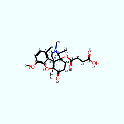 COc1ccc(C)c2c1O[C@H]1C(=O)CC[C@@]3(OC(=O)CCC(=O)O)C(C)N(C)CC[C@]213